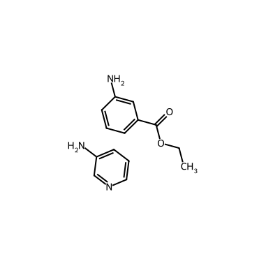 CCOC(=O)c1cccc(N)c1.Nc1cccnc1